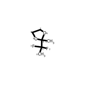 CC(F)(F)C1(C)OCCO1